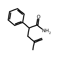 C=C(C)CC(C(N)=O)c1ccccc1